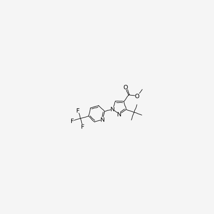 COC(=O)c1cn(-c2ccc(C(F)(F)F)cn2)nc1C(C)(C)C